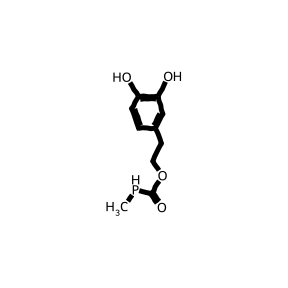 CPC(=O)OCCc1ccc(O)c(O)c1